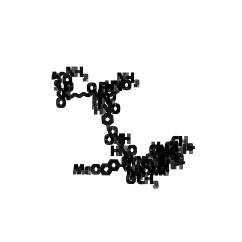 CC[C@H](C)[C@@H]([C@@H](CC(=O)N1C[C@@H](OC(=O)NCCNC(=O)OCc2ccc(NC(=O)[C@H](CCCNC(N)=O)NC(=O)[C@@H](NC(=O)CCCCCN3C(=O)CC(SCC4(CC(N)=O)CC4)C3=O)C(C)C)cc2)C[C@H]1[C@H](OC)[C@@H](C)C(=O)NCC(=O)c1ccc2cc(OC)ccc2c1)OC)N(C)C(=O)[C@@H](NC(=O)[C@H](C(C)C)N(C)C)C(C)C